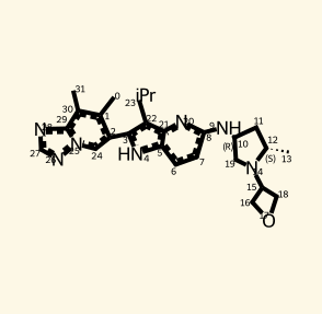 Cc1c(-c2[nH]c3ccc(N[C@@H]4C[C@H](C)N(C5COC5)C4)nc3c2C(C)C)cn2ncnc2c1C